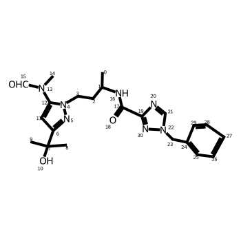 CC(CCn1nc(C(C)(C)O)cc1N(C)C=O)NC(=O)c1ncn(Cc2ccccc2)n1